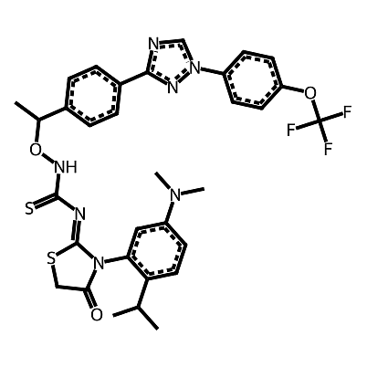 CC(C)c1ccc(N(C)C)cc1N1C(=O)CS/C1=N\C(=S)NOC(C)c1ccc(-c2ncn(-c3ccc(OC(F)(F)F)cc3)n2)cc1